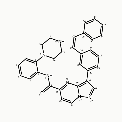 O=C(Nc1ccccc1N1CCNCC1)c1ccn2ncc(-c3cccc(/C=C\c4ccccc4)c3)c2n1